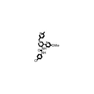 COc1ccc([C@@H]2CN(Cc3ccc(C)nc3)CC[C@H]2NC(=O)Nc2ccc(Cl)cc2)nc1